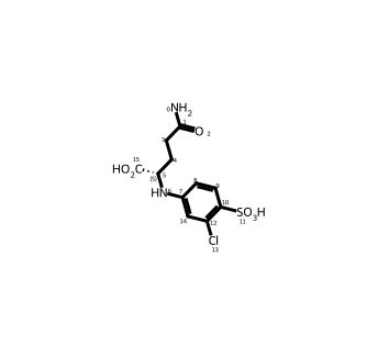 NC(=O)CC[C@H](Nc1ccc(S(=O)(=O)O)c(Cl)c1)C(=O)O